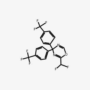 FC(F)C1=NC(c2ccc(C(F)(F)F)cc2)(c2ccc(C(F)(F)F)cc2)N=CO1